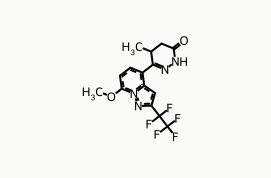 COc1ccc(C2=NNC(=O)CC2C)c2cc(C(F)(F)C(F)(F)F)nn12